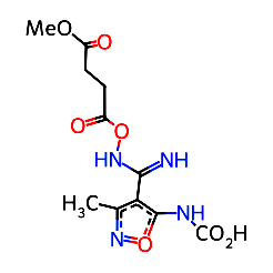 COC(=O)CCC(=O)ONC(=N)c1c(C)noc1NC(=O)O